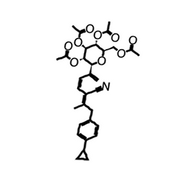 C=C(/C=C\C(C#N)=C(/C)Cc1ccc(C2CC2)cc1)[C@@H]1O[C@H](COC(C)=O)[C@@H](OC(C)=O)[C@H](OC(C)=O)[C@H]1OC(C)=O